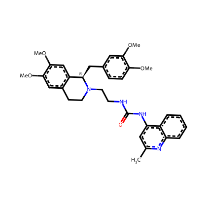 COc1ccc(C[C@@H]2c3cc(OC)c(OC)cc3CCN2CCNC(=O)Nc2cc(C)nc3ccccc23)cc1OC